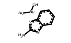 Nc1nc2ccccc2s1.OBO